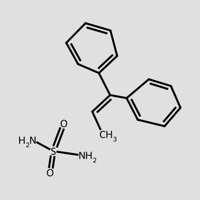 CC=C(c1ccccc1)c1ccccc1.NS(N)(=O)=O